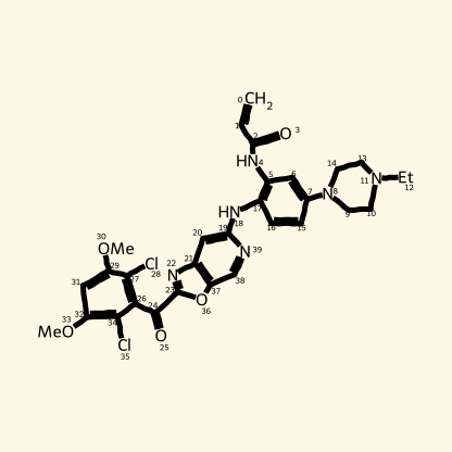 C=CC(=O)Nc1cc(N2CCN(CC)CC2)ccc1Nc1cc2nc(C(=O)c3c(Cl)c(OC)cc(OC)c3Cl)oc2cn1